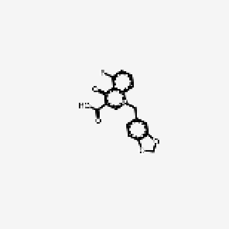 O=C(O)c1cn(Cc2ccc3c(c2)OCO3)c2cccc(F)c2c1=O